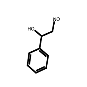 O=NCC(O)c1ccccc1